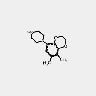 Cc1cc(N2CCNCC2)c2c(c1C)OCCO2